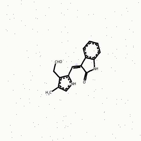 Cc1c[nH]c(/C=C2\C(=O)Nc3ccccc32)c1CC=O